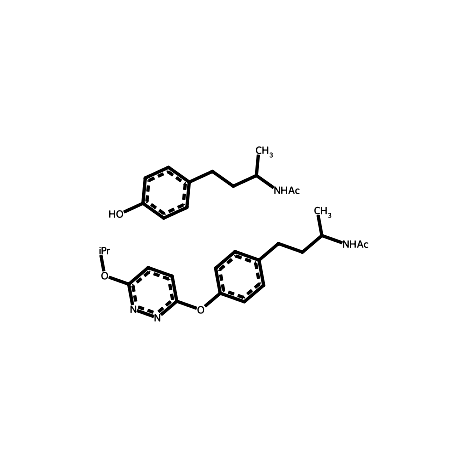 CC(=O)NC(C)CCc1ccc(O)cc1.CC(=O)NC(C)CCc1ccc(Oc2ccc(OC(C)C)nn2)cc1